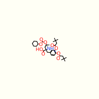 C[C@@H](CC(N)(Cc1ccc(OC(=O)CC(C)(C)C)c(OC(=O)CC(C)(C)C)c1)C(=O)O)OC(=O)OC1CCCCC1